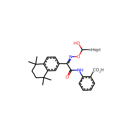 CCCCCCCC(O)ON=C(C(=O)Nc1ccccc1C(=O)O)c1ccc2c(c1)C(C)(C)CCC2(C)C